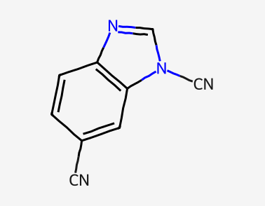 N#Cc1ccc2ncn(C#N)c2c1